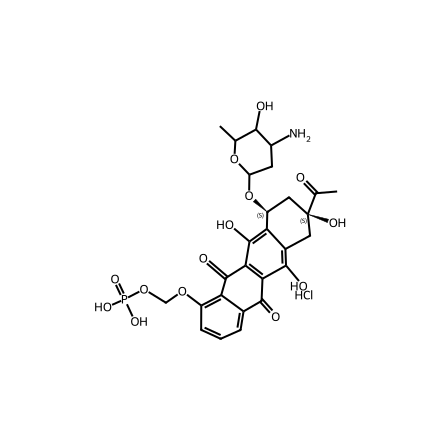 CC(=O)[C@]1(O)Cc2c(O)c3c(c(O)c2[C@@H](OC2CC(N)C(O)C(C)O2)C1)C(=O)c1c(OCOP(=O)(O)O)cccc1C3=O.Cl